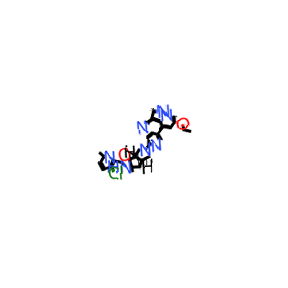 CCOc1cc(-c2ccc(N3C[C@@H]4CC(C)(NC(=O)c5nc(C)ccc5Cl)C[C@@H]4C3)nc2)c2c(C#N)cnn2c1